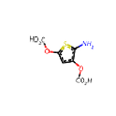 Nc1sc(OC(=O)O)cc1OC(=O)O